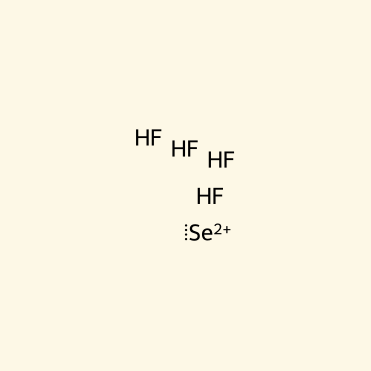 F.F.F.F.[Se+2]